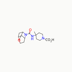 CC1(NC(=O)N2C3CC4CC2CC(C3)O4)CCN(C(=O)O)CC1